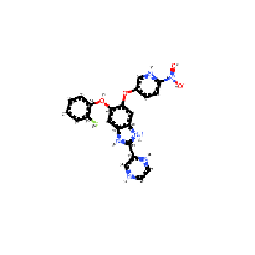 O=[N+]([O-])c1ccc(Oc2cc3[nH]c(-c4cnccn4)nc3cc2Oc2ccccc2F)cn1